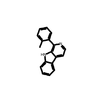 Cc1ccccc1-c1nccc2c1[nH]c1ccccc12